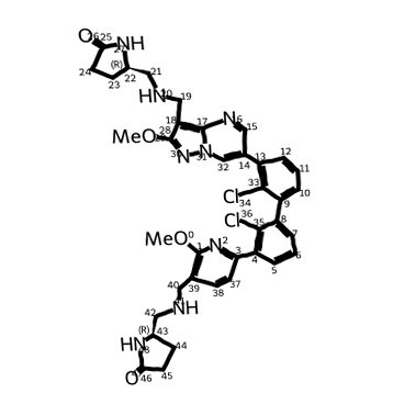 COc1nc(-c2cccc(-c3cccc(-c4cnc5c(CNC[C@H]6CCC(=O)N6)c(OC)nn5c4)c3Cl)c2Cl)ccc1CNC[C@H]1CCC(=O)N1